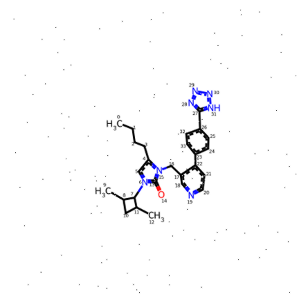 CCCCc1cn(C2C(C)CC2C)c(=O)n1Cc1cnccc1-c1ccc(-c2nnn[nH]2)cc1